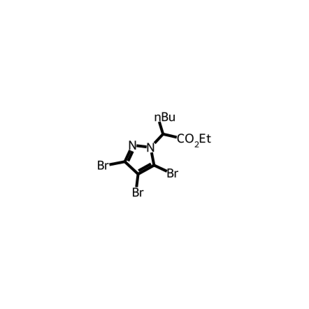 CCCCC(C(=O)OCC)n1nc(Br)c(Br)c1Br